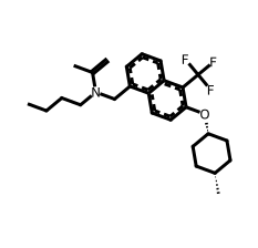 C=C(C)N(CCCC)Cc1cccc2c(C(F)(F)F)c(O[C@H]3CC[C@@H](C)CC3)ccc12